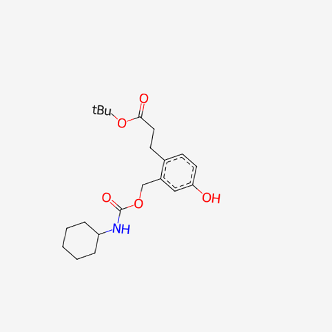 CC(C)(C)OC(=O)CCc1ccc(O)cc1COC(=O)NC1CCCCC1